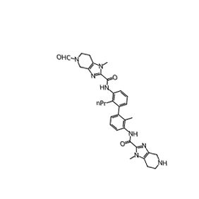 CCCc1c(NC(=O)c2nc3c(n2C)CCN(C=O)C3)cccc1-c1cccc(NC(=O)c2nc3c(n2C)CCNC3)c1C